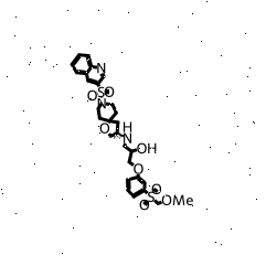 COCS(=O)(=O)c1cccc(OCC(O)CN[C@H]2COC3(CCN(S(=O)(=O)c4cnc5ccccc5c4)CC3)C2)c1